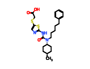 C[C@H]1CC[C@H](N(CCCCCc2ccccc2)C(=O)Nc2ncc(SCC(=O)O)s2)CC1